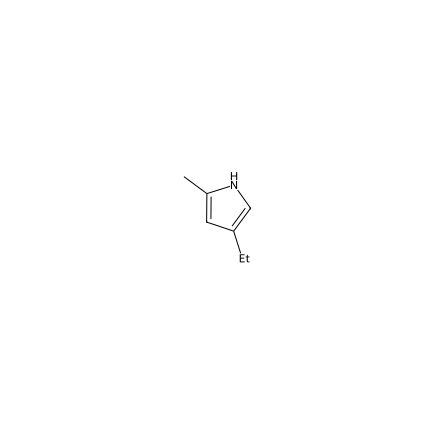 CCc1c[nH]c(C)c1